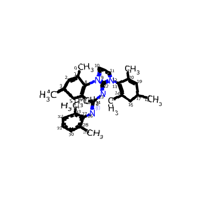 CC1=CC(C)CC(C)=C1n1ccn(C2=C(C)CC(C)C=C2C)c1=N/C(C)=N/c1c(C)cccc1C